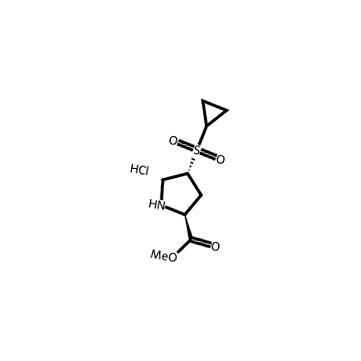 COC(=O)[C@@H]1C[C@@H](S(=O)(=O)C2CC2)CN1.Cl